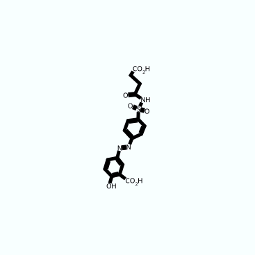 O=C(O)CCC(=O)NS(=O)(=O)c1ccc(N=Nc2ccc(O)c(C(=O)O)c2)cc1